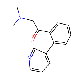 CN(C)CC(=O)c1ccccc1-c1[c]nccc1